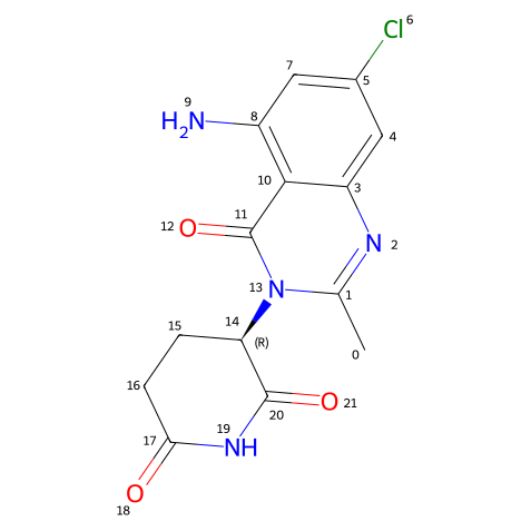 Cc1nc2cc(Cl)cc(N)c2c(=O)n1[C@@H]1CCC(=O)NC1=O